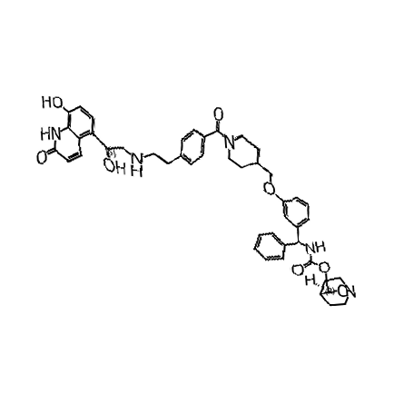 O=C(NC(c1ccccc1)c1cccc(OCC2CCN(C(=O)c3ccc(CCNC[C@@H](O)c4ccc(O)c5[nH]c(=O)ccc45)cc3)CC2)c1)O[C@H]1CN2CCC1CC2